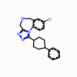 Clc1ccc2c(c1)C[N]Cc1nnc(C3CCC(c4ccccc4)CC3)n1-2